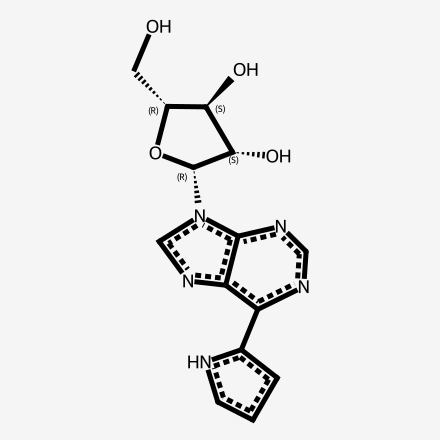 OC[C@H]1O[C@@H](n2cnc3c(-c4ccc[nH]4)ncnc32)[C@@H](O)[C@@H]1O